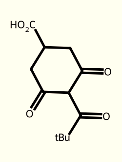 CC(C)(C)C(=O)C1C(=O)CC(C(=O)O)CC1=O